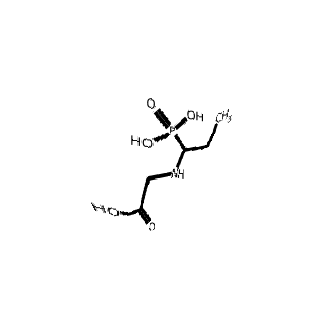 CCC(NCC(=O)O)P(=O)(O)O